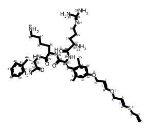 C=CCS/C=C/CO/C=C/COc1cc(C)c(C[C@H](NC(=O)[C@H](N)CCCN=C(N)N)C(=O)NC(CCCCN)C(=O)N[C@@H](Cc2ccccc2)C(N)=O)c(C)c1